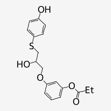 CCC(=O)Oc1cccc(OCC(O)CSc2ccc(O)cc2)c1